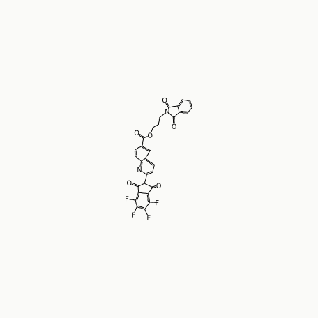 O=C(OCCCN1C(=O)c2ccccc2C1=O)c1ccc2nc(C3C(=O)c4c(F)c(F)c(F)c(F)c4C3=O)ccc2c1